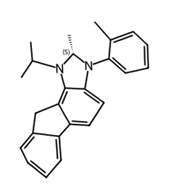 Cc1ccccc1N1c2ccc3c(c2N(C(C)C)[C@@H]1C)Cc1ccccc1-3